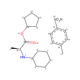 C[C@H](NC1CCCCC1)C(=O)OC1CCCC1.Cc1ccc(S(=O)(=O)O)cc1